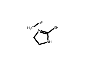 CCCC.SC1=NCCN1